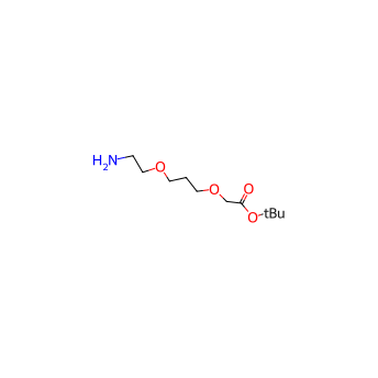 CC(C)(C)OC(=O)COCCCOCCN